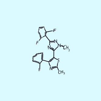 Cc1nc(-c2ccccc2F)c(-c2nc(-c3c(F)cccc3F)nn2C)s1